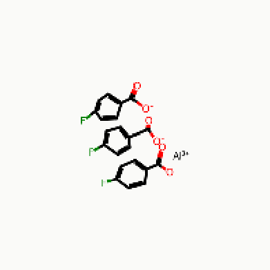 O=C([O-])c1ccc(F)cc1.O=C([O-])c1ccc(F)cc1.O=C([O-])c1ccc(F)cc1.[Al+3]